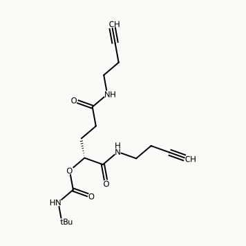 C#CCCNC(=O)CC[C@@H](OC(=O)NC(C)(C)C)C(=O)NCCC#C